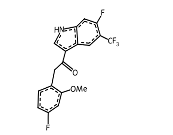 COc1cc(F)ccc1CC(=O)c1c[nH]c2cc(F)c(C(F)(F)F)cc12